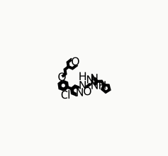 O=C(Nc1cc(-c2cc(OCCC3CCOCC3)ccc2Cl)ccn1)c1nnc(CC2CCCC2)[nH]1